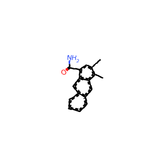 Cc1cc(C(N)=O)c2cc3ccccc3cc2c1C